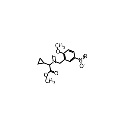 COC(=O)C(NCc1cc([N+](=O)[O-])ccc1OC)C1CC1